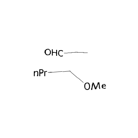 CC=O.C[CH]CCOC